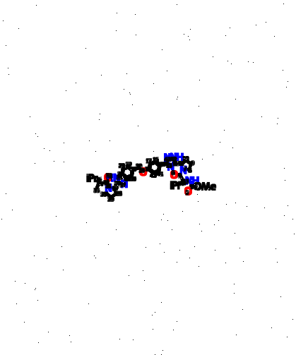 COC(=O)N[C@H](C(=O)N1CCC[C@H]1c1nc(-c2ccc(OCc3ccc4[nH]c([C@@H]5CCCN5C(=O)[C@@H](C)C(C)C)nc4c3)cc2)n[nH]1)C(C)C